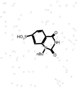 CCCCn1c(=O)[nH]c(=O)c2ccc(S(=O)(=O)O)cc21